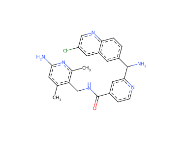 Cc1cc(N)nc(C)c1CNC(=O)c1ccnc(C(N)c2ccc3ncc(Cl)cc3c2)c1